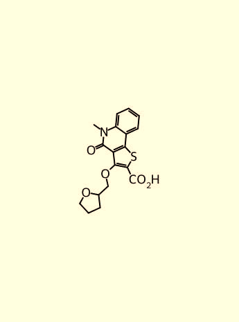 Cn1c(=O)c2c(OCC3CCCO3)c(C(=O)O)sc2c2ccccc21